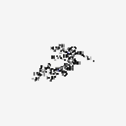 CC[C@H](NC(=O)C[C@@H](O)CN)C(=O)NCC(=O)/N=C(\CCCN)C(=O)N1CCC[C@H]1C(=O)N[C@@H](Cc1cnc[nH]1)C(=O)N[C@@H](CCCCN)C(=O)N/C(=C\CCNC(=N)N)C(=O)N[C@@H](CCCCN)C(=O)NCCCCN